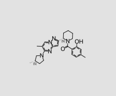 Cc1ccc(C(=O)N2CCCC[C@H]2c2cc3nc(N4CC[C@H](C)C4)c(C)cn3n2)c(O)c1